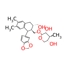 Cc1cc2c(cc1C)C(c1ccc3c(c1)OCO3)[C@H](CO[C@@H]1OC[C@@H](O)[C@H](C)[C@H]1O)[C@@H](CO)C2